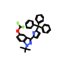 CC(C)(C)n1nc(C2=NC(C(c3ccccc3)(c3ccccc3)c3ccccc3)C=C2)c2cc(OC(F)F)ccc21